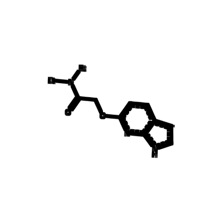 CCN(CC)C(=O)COc1ccc2[c]c[nH]c2n1